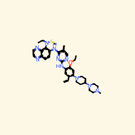 C=Cc1cc(Nc2ncc(C)c(Nc3ccc4nccnc4c3N(CC)SC)n2)c(OCC)cc1N1CCC(N2CCN(C)CC2)CC1